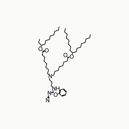 CCCCCCCCC(CC)OC(=O)CCCCCCCN(CCCCCCCC(=O)OC(CCCCCCCC)CCCCCCCC)CCCN/C(=N/C#N)Oc1ccccc1